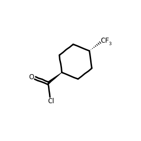 O=C(Cl)[C@H]1CC[C@H](C(F)(F)F)CC1